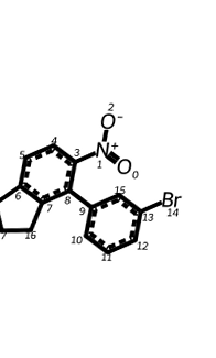 O=[N+]([O-])c1ccc2c(c1-c1cccc(Br)c1)CCC2